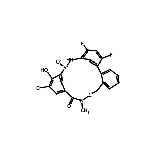 CN1CCc2ccccc2-c2cc(c(F)cc2F)N[S+]([O-])c2cc(cc(Cl)c2O)C1=O